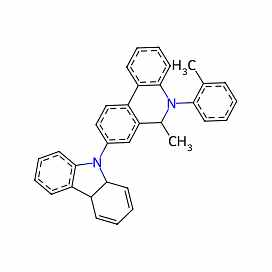 Cc1ccccc1N1c2ccccc2-c2ccc(N3c4ccccc4C4C=CC=CC43)cc2C1C